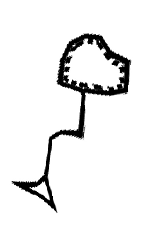 c1ccc(CCC2CC2)cc1